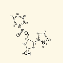 Cn1nccc1C1CC(O)CC1OC(=O)c1ccccc1